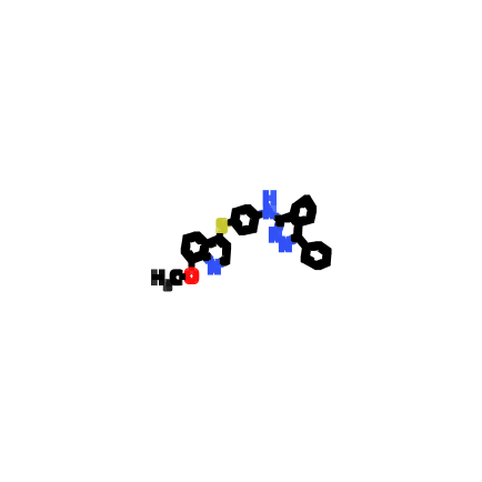 COc1cccc2c(Sc3ccc(Nc4nnc(-c5ccccc5)c5ccccc45)cc3)ccnc12